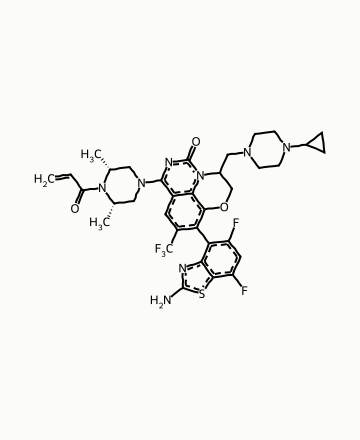 C=CC(=O)N1[C@H](C)CN(c2nc(=O)n3c4c(c(-c5c(F)cc(F)c6sc(N)nc56)c(C(F)(F)F)cc24)OCC3CN2CCN(C3CC3)CC2)C[C@@H]1C